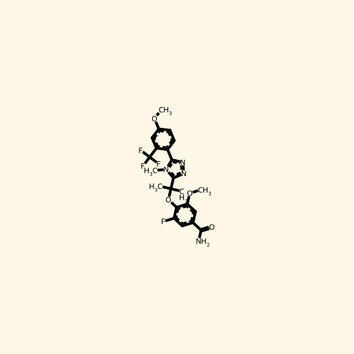 COc1ccc(-c2nnc(C(C)(C)Oc3c(F)cc(C(N)=O)cc3OC)n2C)c(C(F)(F)F)c1